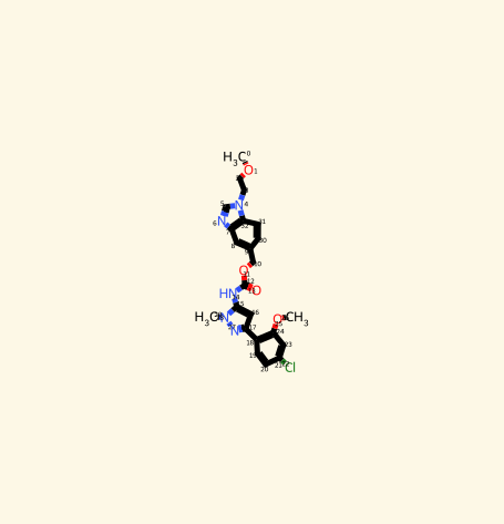 COCCn1cnc2cc(COC(=O)Nc3cc(-c4ccc(Cl)cc4OC)nn3C)ccc21